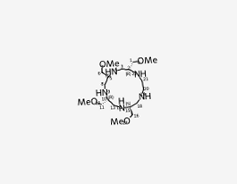 COC[C@H]1CN[C@H](COC)CN[C@@H](COC)CN[C@H](COC)CNCCN1